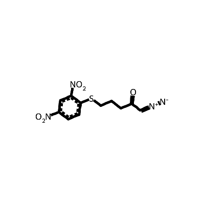 [N-]=[N+]=CC(=O)CCCSc1ccc([N+](=O)[O-])cc1[N+](=O)[O-]